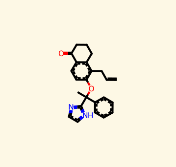 C=CCc1c(OC(C)(c2ccccc2)c2ncc[nH]2)ccc2c1CCCC2=O